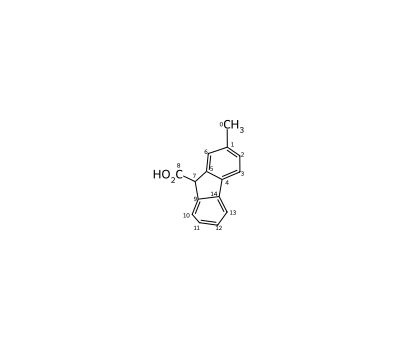 Cc1ccc2c(c1)C(C(=O)O)c1ccccc1-2